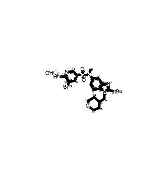 CN(c1ccc2c(c1)nc(C(C)(C)C)n2CC1CCOCC1)S(=O)(=O)c1cnc(NC=O)c(Br)c1